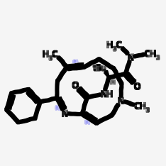 C/C1=C\CCCN(C)C/C=C(C(=O)N[C@H](C(=O)N(C)C)C(C)(C)C)/N=C(/C2=CC=CCC2)C1